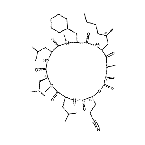 CCCC[C@@H](C)CC1NC(=O)C(CC2CCCCC2)N(C)C(=O)C(CC(C)C)NC(=O)[C@H](CC(C)C)N(C)C(=O)C(CC(C)C)NC(=O)[C@@H](CCC#N)OC(=O)[C@H](C)N(C)C1=O